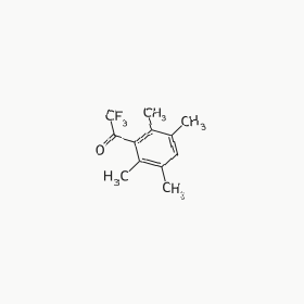 Cc1cc(C)c(C)c(C(=O)C(F)(F)F)c1C